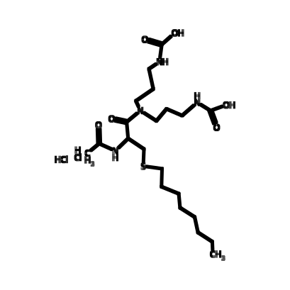 CCCCCCCCSCC(NC(C)=O)C(=O)N(CCCNC(=O)O)CCCNC(=O)O.Cl.Cl